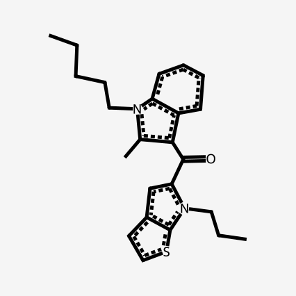 CCCCCn1c(C)c(C(=O)c2cc3ccsc3n2CCC)c2ccccc21